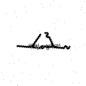 CC/C=C\C/C=C\C/C=C\CCCCCCC(O)CN(CCCCC(=O)OCCN1CCN(CCSSCCCN(CC(O)CCCCCCCCCCCC)CC(O)CCCCCCCCCCCC)CC1)CC(O)CCCCCC/C=C\C/C=C\C/C=C\CC